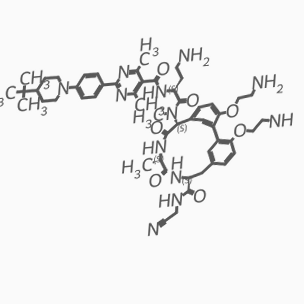 Cc1nc(-c2ccc(N3CCC(C(C)(C)C)CC3)cc2)nc(C)c1C(=O)N[C@@H](CCN)C(=O)N(C)[C@@H]1C(=O)N[C@@H](C)C(=O)N[C@H](C(=O)NCC#N)Cc2ccc(OCCN)c(c2)-c2cc1ccc2OCCN